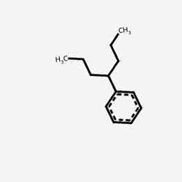 CC[CH]C(CCC)c1ccccc1